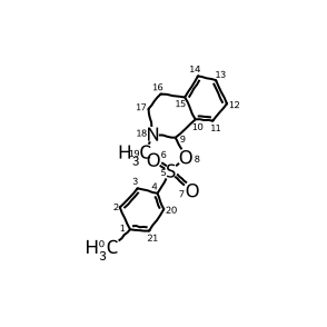 Cc1ccc(S(=O)(=O)OC2c3ccccc3CCN2C)cc1